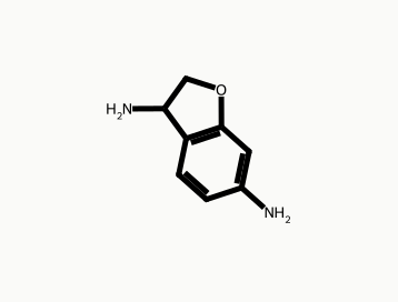 Nc1ccc2c(c1)OCC2N